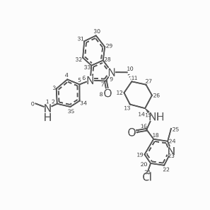 CNc1ccc(-n2c(=O)n(C[C@H]3CC[C@H](NC(=O)c4cc(Cl)cnc4C)CC3)c3ccccc32)cc1